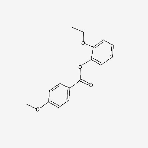 CCOc1ccccc1OC(=O)c1ccc(OC)cc1